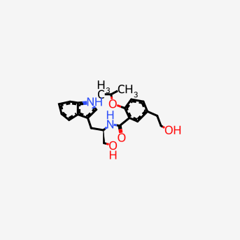 CC(C)Oc1ccc(CCO)cc1C(=O)N[C@@H](CO)Cc1c[nH]c2ccccc12